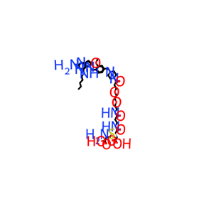 CCCCCNc1nc(N)nc2ccn(Cc3ccc(CN4CCN(C(=O)CCOCCOCCNC(=O)CCNC(=O)[C@H](CC(=O)O)SC[C@H](N)C(=O)O)CC4)cc3OC)c12